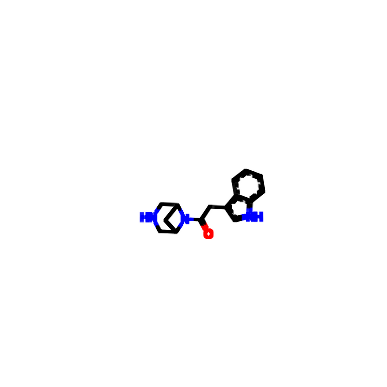 O=C(Cc1c[nH]c2ccccc12)N1C2CNCC1C2